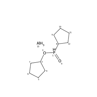 O=[PH](OC1CCCC1)C1CCCC1.[AlH3]